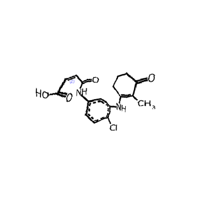 CC1=C(Nc2cc(NC(=O)/C=C\C(=O)O)ccc2Cl)CCCC1=O